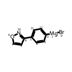 [Br][Mg][c]1ccc(-c2ccon2)cc1